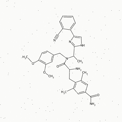 COc1ccc(CN(C(=O)C(N)Cc2c(C)cc(C(N)=O)cc2C)C(C)c2nc(-c3ccccc3C#N)c[nH]2)cc1OC